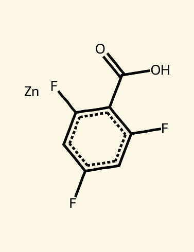 O=C(O)c1c(F)cc(F)cc1F.[Zn]